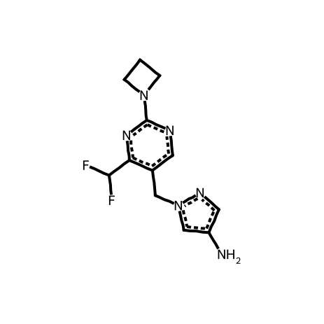 Nc1cnn(Cc2cnc(N3CCC3)nc2C(F)F)c1